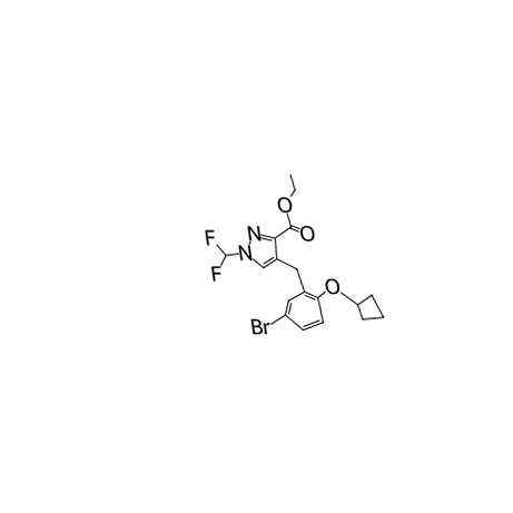 CCOC(=O)c1nn(C(F)F)cc1Cc1cc(Br)ccc1OC1CCC1